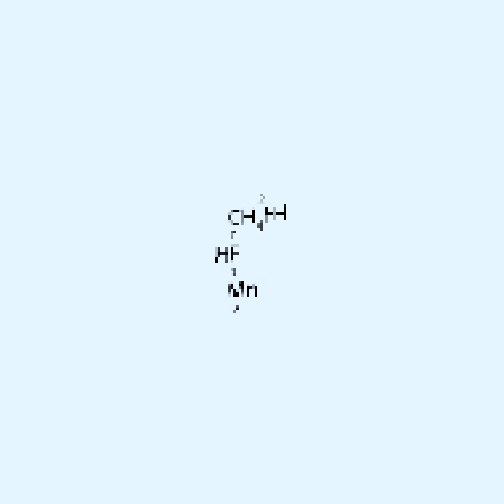 C.F.F.[Mn]